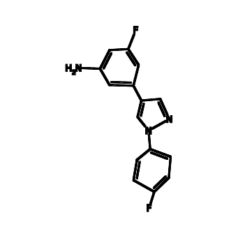 Nc1cc(F)cc(-c2cnn(-c3ccc(F)cc3)c2)c1